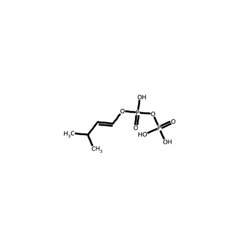 CC(C)C=COP(=O)(O)OP(=O)(O)O